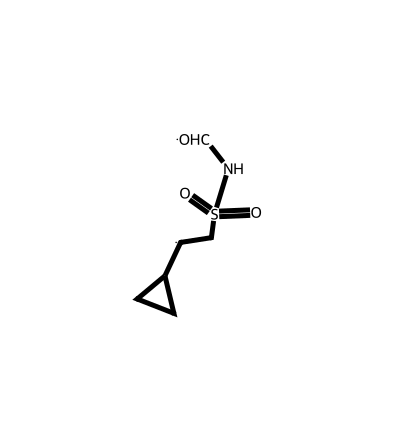 O=[C]NS(=O)(=O)C[CH]C1CC1